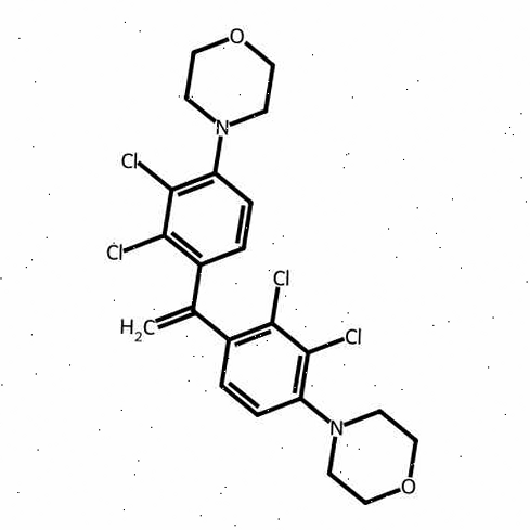 C=C(c1ccc(N2CCOCC2)c(Cl)c1Cl)c1ccc(N2CCOCC2)c(Cl)c1Cl